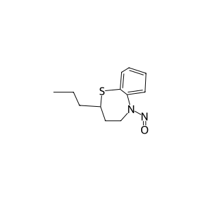 CCCC1CCN(N=O)c2ccccc2S1